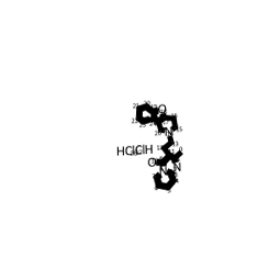 Cc1nc2ccccn2c(=O)c1CCN1CCc2oc3ccccc3c2C1.Cl.Cl